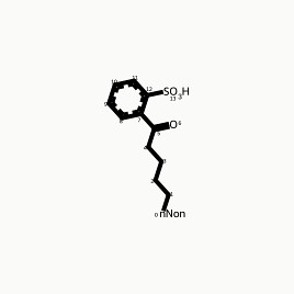 CCCCCCCCCCCCCC(=O)c1ccccc1S(=O)(=O)O